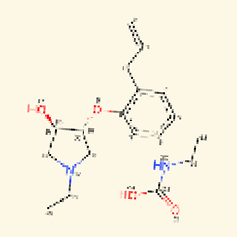 C=CCc1ccccc1O[C@@H]1CN(CC)C[C@H]1O.CCNC(=O)O